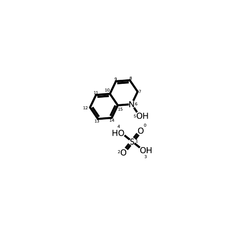 O=S(=O)(O)O.ON1CC=Cc2ccccc21